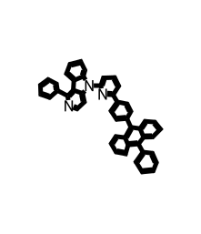 c1ccc(-c2c3ccccc3c(-c3ccc(-c4cccc(-n5c6ccccc6c6c(-c7ccccc7)nccc65)n4)cc3)c3ccccc23)cc1